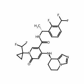 C[C@@H](NC(=O)c1cn(C2(C(F)F)CC2)c(=O)cc1N[C@@H]1CCCn2cncc21)c1cccc(C(F)F)c1F